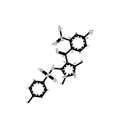 Cc1ccc(S(=O)(=O)Oc2c(C(=O)c3ccc(Cl)cc3[N+](=O)[O-])c(C)nn2C)cc1